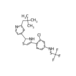 CC(C)(C)Cc1cc(C2NC(c3ccc(NSC(F)(F)F)cc3Cl)=CS2)ccn1